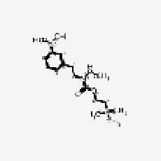 CPN(CCc1cccc(B(O)O)c1)C(=O)OCCS(C)(C)C